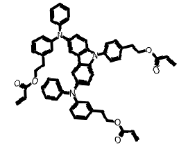 C=CC(=O)OCCc1ccc(-n2c3ccc(N(c4ccccc4)c4cccc(CCOC(=O)C=C)c4)cc3c3cc(N(c4ccccc4)c4cccc(CCOC(=O)C=C)c4)ccc32)cc1